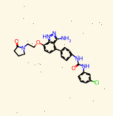 Nc1n[nH]c2c(OCCN3CCCC3=O)ccc(-c3ccc(NC(=O)Nc4cccc(Cl)c4)cc3)c12